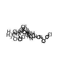 CN(C)CC[C@H](CSc1c(Cl)cccc1Cl)Nc1ccc(S(=O)(=O)Nc2ncnc3c2CCN(C2CCN(Cc4ccccc4-c4ccc(Cl)cc4)CC2)C3)cc1S(=O)(=O)C(F)(F)F